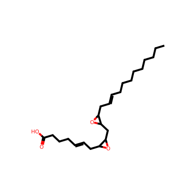 CCCCCCCCCC=CCC1OC1CC1OC1CC=CCCCC(=O)O